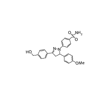 COc1ccc(C2CC(c3ccc(CO)cc3)=NN2c2ccc(S(N)(=O)=O)cc2)cc1